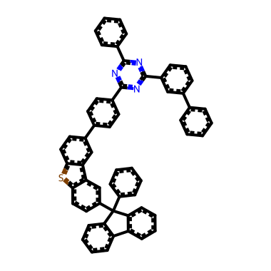 c1ccc(-c2cccc(-c3nc(-c4ccccc4)nc(-c4ccc(-c5ccc6sc7ccc(C8(c9ccccc9)c9ccccc9-c9ccccc98)cc7c6c5)cc4)n3)c2)cc1